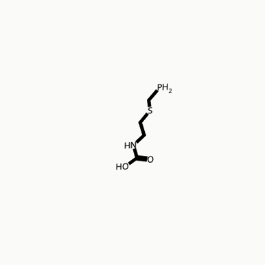 O=C(O)NCCSCP